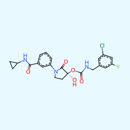 O=C(NCc1cc(F)cc(Cl)c1)O[C@@]1(O)CCN(c2cccc(C(=O)NC3CC3)c2)C1=O